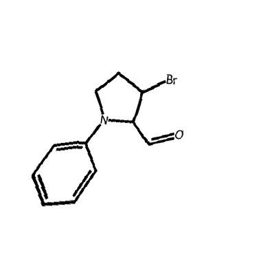 O=CC1C(Br)CCN1c1ccccc1